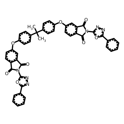 CC(C)(c1ccc(Oc2ccc3c(c2)C(=O)N(c2nnc(-c4ccccc4)o2)C3=O)cc1)c1ccc(Oc2ccc3c(c2)C(=O)N(c2nnc(-c4ccccc4)o2)C3=O)cc1